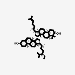 CC(C)=CCC[C@@H](C)[C@H]1CC[C@@]2(C)C3=C(CC[C@]12C)[C@@]1(C)CC[C@H](O)C(C)(C)[C@@H]1CC3.CC[C@H](CC[C@@H](C)[C@H]1CC[C@H]2[C@@H]3CC=C4C[C@@H](O)CC[C@]4(C)[C@H]3CC[C@]12C)C(C)C